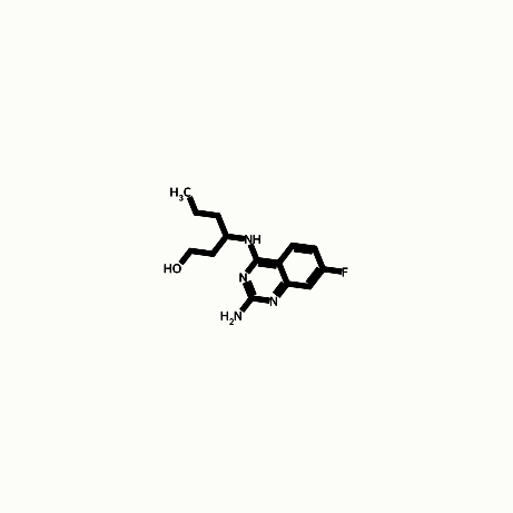 CCCC(CCO)Nc1nc(N)nc2cc(F)ccc12